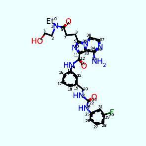 CCN(CCO)C(=O)CCc1nc(C(=O)Nc2cccc(CNC(=O)Nc3cccc(F)c3)c2)c2c(N)nccn12